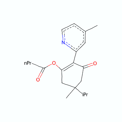 CCCC(=O)OC1=C(c2cc(C)ccn2)C(=O)CC(C)(C(C)C)C1